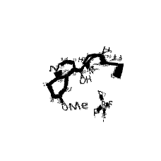 C=C[C@H]1C[N@]2CC[C@H]1C[C@@H]2[C@@H](O)c1ccnc2ccc(OC)cc12.F[B-](F)(F)F